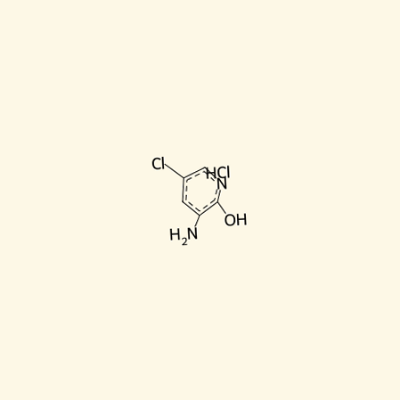 Cl.Nc1cc(Cl)cnc1O